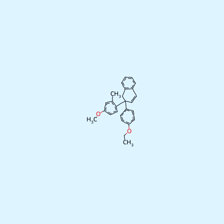 CCOc1ccc(C2(c3ccc(OC)cc3C)C=Cc3ccccc3C2)cc1